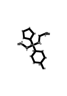 CCCO[Si](OCC(C)(C)C)(C1CCCC1)C1CCC(C)CC1